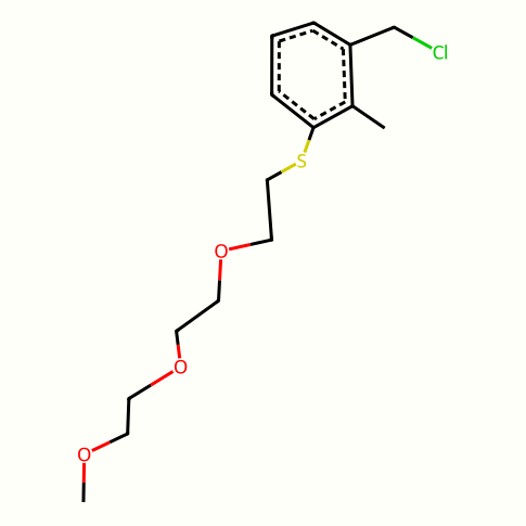 COCCOCCOCCSc1cccc(CCl)c1C